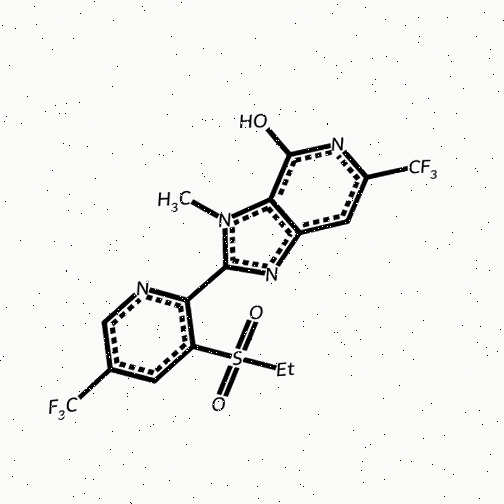 CCS(=O)(=O)c1cc(C(F)(F)F)cnc1-c1nc2cc(C(F)(F)F)nc(O)c2n1C